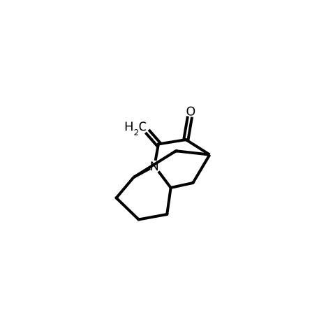 C=C1C(=O)C2CC3CCCC(C2)N13